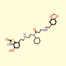 O=C(CCNCCc1ccc2c(c1)OCO2)N(CCNCCc1ccc(O)c2[nH]c(=O)sc12)C1CCCCC1